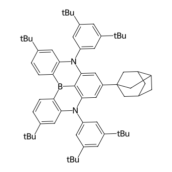 CC(C)(C)c1cc(N2c3cc(C(C)(C)C)ccc3B3c4ccc(C(C)(C)C)cc4N(c4cc(C(C)(C)C)cc(C(C)(C)C)c4)c4cc(C56CC7CC(C5)C(C7)C6)cc2c43)cc(C(C)(C)C)c1